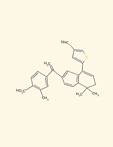 C=C(c1ccc(C(=O)O)c(C)c1)c1ccc2c(c1)C(c1cc(C=O)cs1)=CCC2(C)C